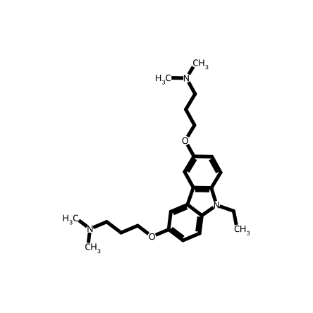 CCn1c2ccc(OCCCN(C)C)cc2c2cc(OCCCN(C)C)ccc21